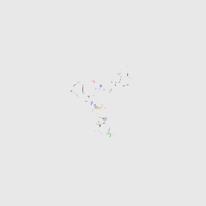 Cc1ccc(N2CCN(C(=O)C3CN(S(=O)(=O)c4sc5ccc(Cl)cc5c4C)CC3c3ccccc3)CC2)cc1C